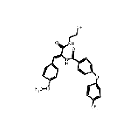 O=C(NCCO)C(=Cc1ccc(OC(F)(F)F)cc1)NC(=O)c1ccc(Oc2ccc(C(F)(F)F)cc2)cc1